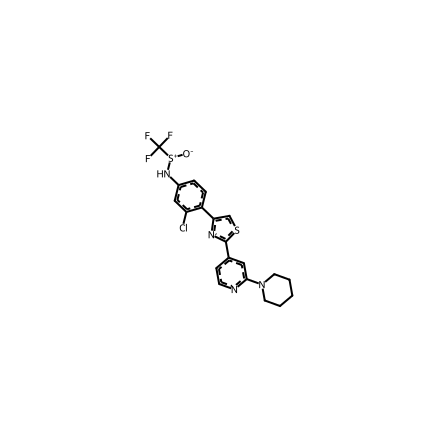 [O-][S+](Nc1ccc(-c2csc(-c3ccnc(N4CCCCC4)c3)n2)c(Cl)c1)C(F)(F)F